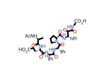 CCC[C@H](NC(=O)[C@@H]1CCCN1C(=O)[C@@H](NC(=O)[C@@H](NC(=O)[C@H](CCC(=O)O)NC(=O)[C@H](C)NC(C)=O)C(C)C)C(C)C)C(=O)C(=O)NCC(=O)O